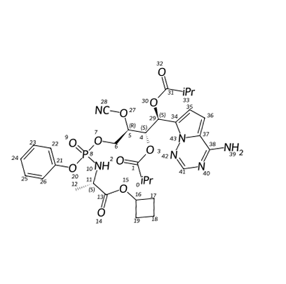 CC(C)C(=O)O[C@H]([C@@H](COP(=O)(N[C@@H](C)C(=O)OC1CCC1)Oc1ccccc1)OC#N)[C@@H](OC(=O)C(C)C)c1ccc2c(N)ncnn12